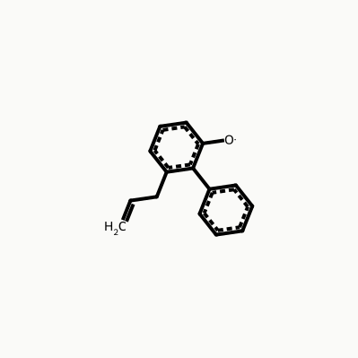 C=CCc1cccc([O])c1-c1ccccc1